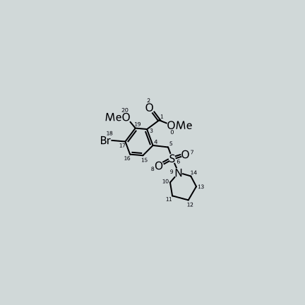 COC(=O)c1c(CS(=O)(=O)N2CCCCC2)ccc(Br)c1OC